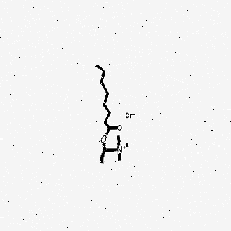 CCCCCCCC(=O)OC(C)[N+](C)(C)C.[Br-]